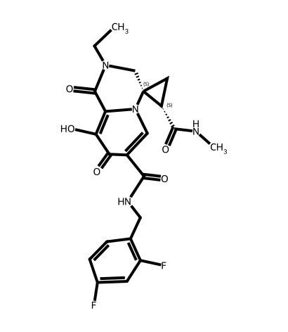 CCN1C[C@@]2(C[C@@H]2C(=O)NC)n2cc(C(=O)NCc3ccc(F)cc3F)c(=O)c(O)c2C1=O